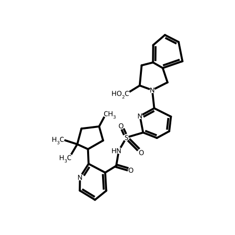 CC1CC(c2ncccc2C(=O)NS(=O)(=O)c2cccc(N3Cc4ccccc4CC3C(=O)O)n2)C(C)(C)C1